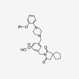 CC(C)Oc1ccccc1N1CCN(Cc2cccc(CN3C(=O)CC4(CCCC4)CC3=O)c2)CC1.Cl.Cl